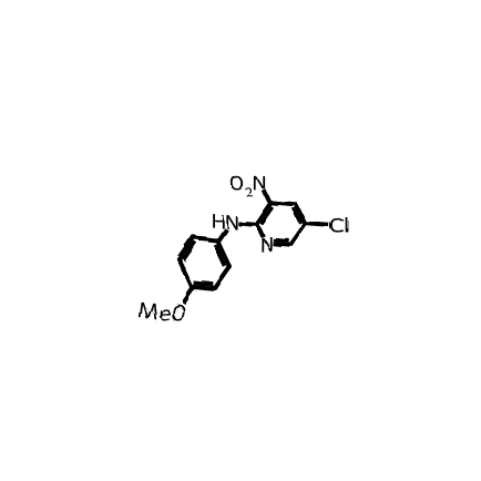 COc1ccc(Nc2ncc(Cl)cc2[N+](=O)[O-])cc1